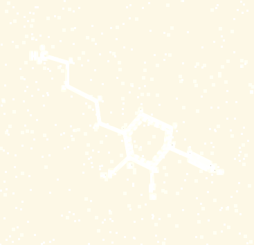 CCCCCc1ccc(C#N)c(F)c1F